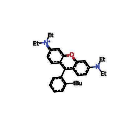 CCN(CC)c1ccc2c(-c3ccccc3C(C)(C)C)c3ccc(=[N+](CC)CC)cc-3oc2c1